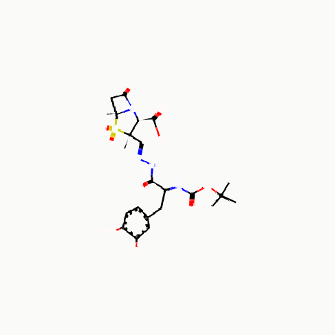 CC(C)(C)OC(=O)NC(Cc1ccc(O)c(O)c1)C(=O)N/N=C/[C@@]1(C)[C@H](C(=O)O)N2C(=O)C[C@H]2S1(=O)=O